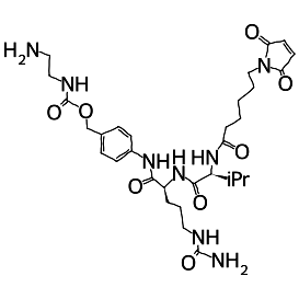 CC(C)[C@H](NC(=O)CCCCCN1C(=O)C=CC1=O)C(=O)N[C@@H](CCCNC(N)=O)C(=O)Nc1ccc(COC(=O)NCCN)cc1